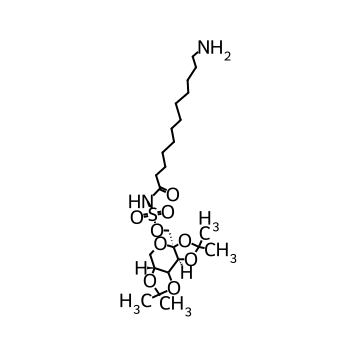 CC1(C)OC2[C@@H](CO[C@@]3(COS(=O)(=O)NC(=O)CCCCCCCCCCCN)OC(C)(C)O[C@@H]23)O1